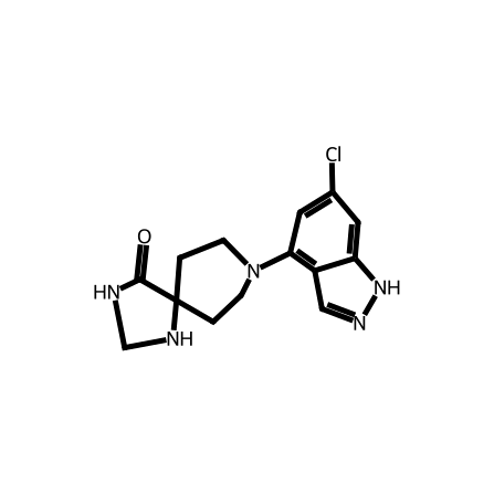 O=C1NCNC12CCN(c1cc(Cl)cc3[nH]ncc13)CC2